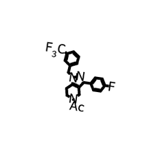 CC(=O)N1CCc2c(c(-c3ccc(F)cc3)nn2Cc2cccc(C(F)(F)F)c2)C1